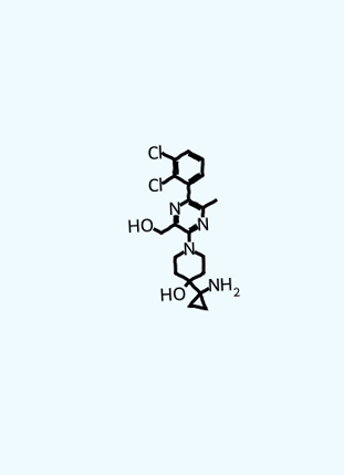 Cc1nc(N2CCC(O)(C3(N)CC3)CC2)c(CO)nc1-c1cccc(Cl)c1Cl